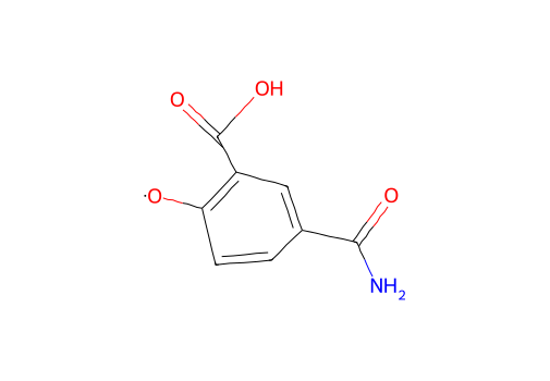 NC(=O)c1ccc([O])c(C(=O)O)c1